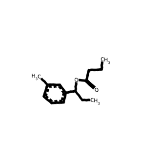 CCCC(=O)OC(CC)c1cccc(C)c1